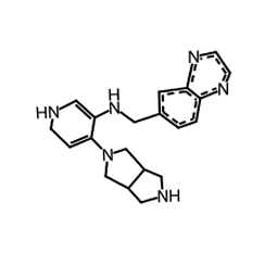 C1=C(NCc2ccc3nccnc3c2)C(N2CC3CNCC3C2)=CCN1